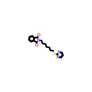 O=C1c2ccccc2C(=O)N1CCCCCCCSc1ncccn1